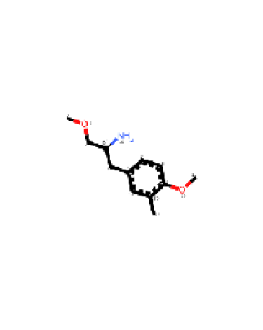 COC[C@@H](N)Cc1ccc(OC)c(C)c1